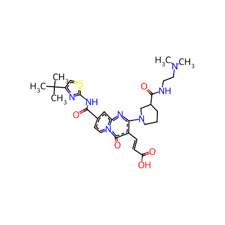 CN(C)CCNC(=O)C1CCCN(c2nc3cc(C(=O)Nc4nc(C(C)(C)C)cs4)ccn3c(=O)c2C=CC(=O)O)C1